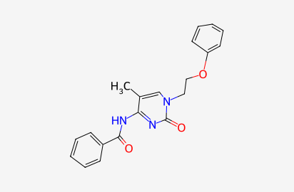 Cc1cn(CCOc2ccccc2)c(=O)nc1NC(=O)c1ccccc1